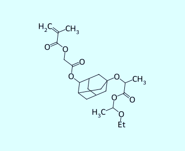 C=C(C)C(=O)OCC(=O)OC1C2CC3CC1CC(OC(C)C(=O)OC(C)OCC)(C3)C2